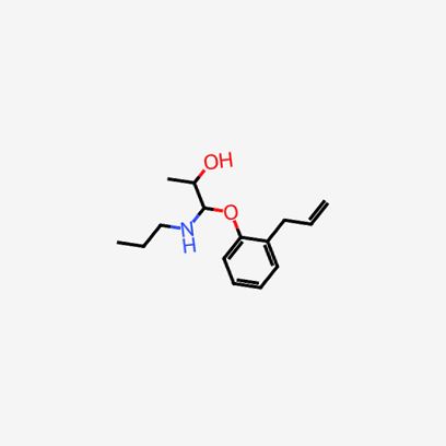 C=CCc1ccccc1OC(NCCC)C(C)O